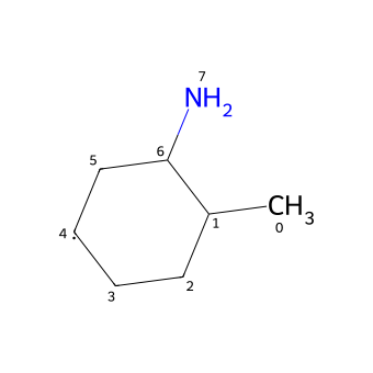 CC1CC[CH]CC1N